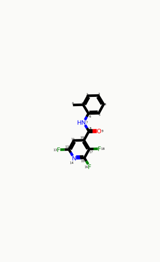 Cc1ccccc1NC(=O)c1cc(F)nc(F)c1F